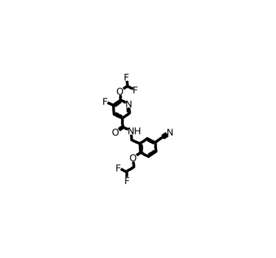 N#Cc1ccc(OCC(F)F)c(CNC(=O)c2cnc(OC(F)F)c(F)c2)c1